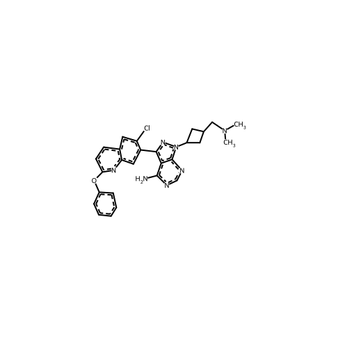 CN(C)CC1CC(n2nc(-c3cc4nc(Oc5ccccc5)ccc4cc3Cl)c3c(N)ncnc32)C1